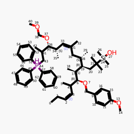 CC/C=C\C(C)[C@H](OCc1ccc(OC)cc1)[C@@H](C)[C@H](CC(C)(C)[Si](C)(C)O)[C@@H](C)C/C(C)=C\[C@H](C)[C@@H](OCOC)C(C)C[PH](c1ccccc1)(c1ccccc1)c1ccccc1